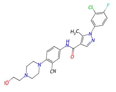 Cc1c(C(=O)Nc2ccc(N3CCN(CCO)CC3)c(C#N)c2)cnn1-c1ccc(F)c(Cl)c1